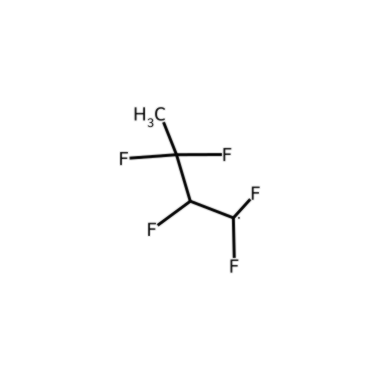 CC(F)(F)C(F)[C](F)F